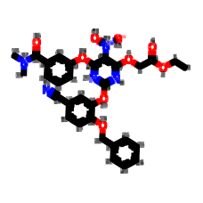 CCOC(=O)COc1nc(Oc2cc(C#N)ccc2OCc2ccccc2)nc(Oc2cccc(C(=O)N(C)C)c2)c1[N+](=O)[O-]